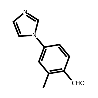 Cc1cc(-n2ccnc2)ccc1C=O